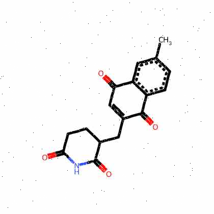 Cc1ccc2c(c1)C(=O)C=C(CC1CCC(=O)NC1=O)C2=O